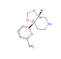 Cc1cccc([C@]23CCNC[C@H]2OCO3)n1